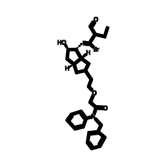 CCC(C=O)C(Br)=C[C@@H]1[C@@H]2CC(CCOCC(=O)N(Cc3ccccc3)c3ccccc3)C[C@H]2C[C@H]1O